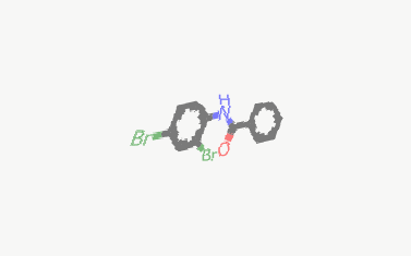 O=C(Nc1ccc(Br)cc1Br)c1ccccc1